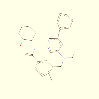 CCN(Cc1cc(C(=O)N[C@H]2CCCC[C@@H]2O)ccc1C)c1cncc(-c2ccccc2)c1